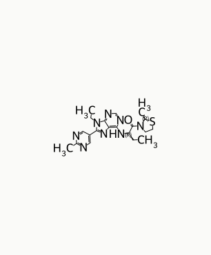 CC[C@@H](Nc1ncnc2c1nc(-c1cnc(C)nc1)n2CC)C(=O)N1CCS[C@@H]1C